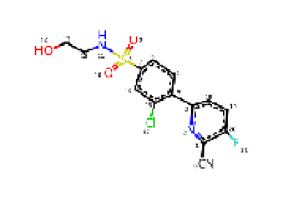 N#Cc1nc(-c2ccc(S(=O)(=O)NCCO)cc2Cl)ccc1F